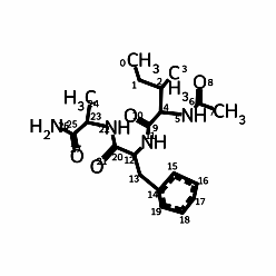 CCC(C)C(NC(C)=O)C(=O)NC(Cc1ccccc1)C(=O)NC(C)C(N)=O